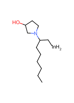 CCCCCCC([CH2][InH2])N1CCC(O)C1